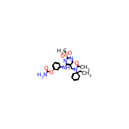 CCC1(N(Cc2cnc(S(C)(=O)=O)nc2Nc2cccc(OC(N)=O)c2)C(C)=O)C=CC=CC1